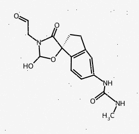 CNC(=O)Nc1ccc2c(c1)CC[C@@]21OC(O)N(CC=O)C1=O